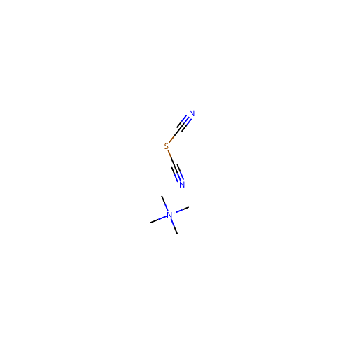 C[N+](C)(C)C.N#CSC#N